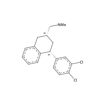 CNC[C@H]1Cc2ccccc2[C@@H](c2ccc(Cl)c(Cl)c2)C1